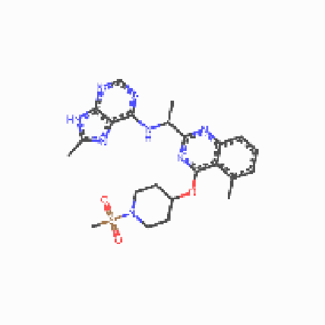 Cc1nc2c(N[C@@H](C)c3nc(OC4CCN(S(C)(=O)=O)CC4)c4c(C)cccc4n3)ncnc2[nH]1